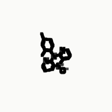 Cc1ccc(N2c3ncccc3[S+]([O-])c3cccnc32)c(C)c1